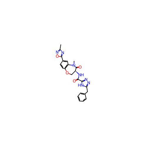 Cc1noc(-c2ccc3c(c2)N(C)C(=O)[C@@H](NC(=O)c2nnc(Cc4ccccc4)[nH]2)CO3)n1